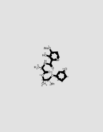 COc1ccnc(C(=O)N[C@@H](C)C(=O)O[C@@H](C)[C@H](Oc2cccc(Cl)c2)C(C)C)c1O